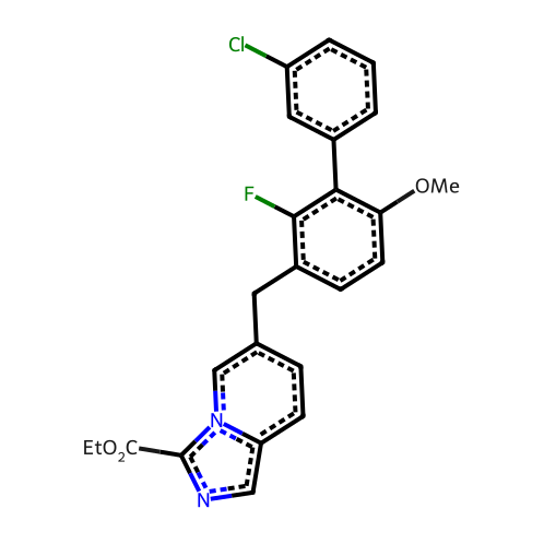 CCOC(=O)c1ncc2ccc(Cc3ccc(OC)c(-c4cccc(Cl)c4)c3F)cn12